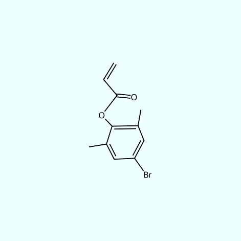 C=CC(=O)Oc1c(C)cc(Br)cc1C